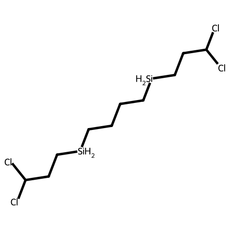 ClC(Cl)CC[SiH2]CCCC[SiH2]CCC(Cl)Cl